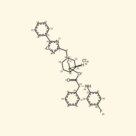 O=C(O[C@H]1C[N+]2(Cc3noc(-c4ccccc4)n3)CCC1CC2)[C@H](Nc1ccc(F)cc1)c1ccccc1.[Cl-]